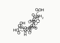 N[C@@H](CCC(=O)O)C(=O)NCC(=O)N1CCC[C@H]1C(=O)N[C@@H](Cc1ccccc1)C(=O)NCC(=O)N1CCC[C@H]1C(=O)N[C@@H](CCC(=O)O)C(=O)NCC(=O)O